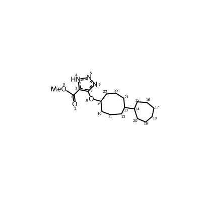 COC(=O)c1[nH]nnc1OC1CCCC(C2CCCCCC2)CCC1